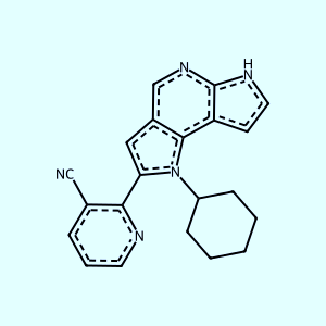 N#Cc1cccnc1-c1cc2cnc3[nH]ccc3c2n1C1CCCCC1